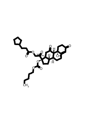 CCCCCOC(=O)O[C@]1(C(=O)COC(=O)CCC2CCCC2)CC[C@H]2[C@@H]3CCC4=CC(=O)CC[C@]4(C)[C@H]3C(=O)C[C@@]21C